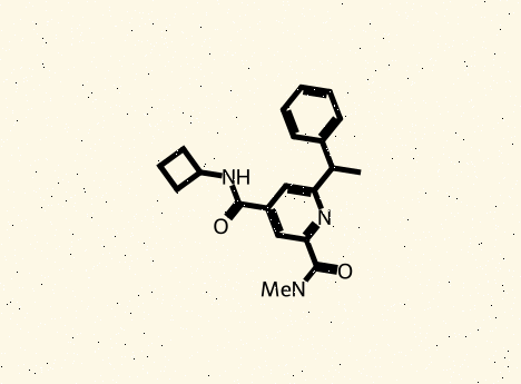 CNC(=O)c1cc(C(=O)NC2CCC2)cc(C(C)c2ccccc2)n1